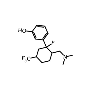 CN(C)CC1CCC(C(F)(F)F)CC1(F)c1cccc(O)c1